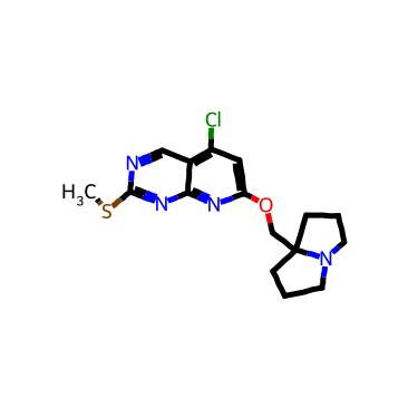 CSc1ncc2c(Cl)cc(OCC34CCCN3CCC4)nc2n1